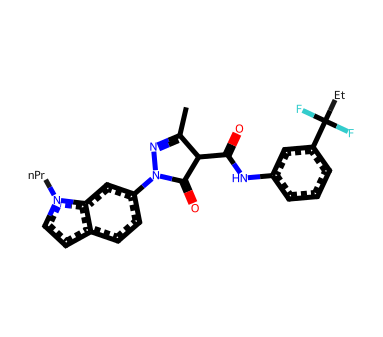 CCCn1ccc2ccc(N3N=C(C)C(C(=O)Nc4cccc(C(F)(F)CC)c4)C3=O)cc21